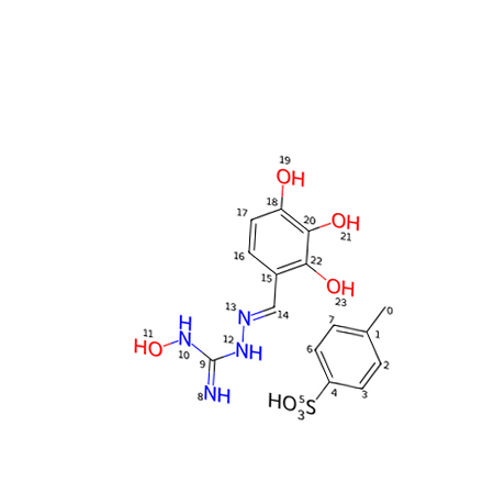 Cc1ccc(S(=O)(=O)O)cc1.N=C(NO)NN=Cc1ccc(O)c(O)c1O